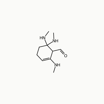 CNC1=CCCC(NC)(NC)C1C=O